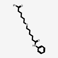 CC(C)C(=O)CCCCCOCCCCCC(=O)Nc1ccccc1